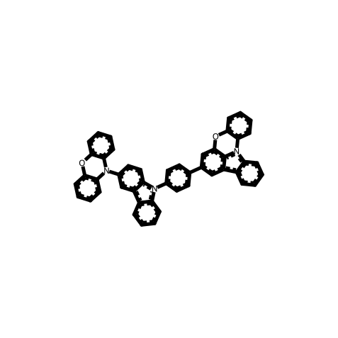 c1ccc2c(c1)Oc1ccccc1N2c1ccc2c(c1)c1ccccc1n2-c1ccc(-c2cc3c4c(c2)c2ccccc2n4-c2ccccc2O3)cc1